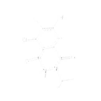 Cc1c(O)cc2c(=O)n(C(C)C)[nH]c(=O)c2c1Cl